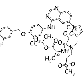 COCP(=O)(N[C@@H](C)C(=O)OC(C)C)N(CCS(C)(=O)=O)Cc1ccc(-c2ccc3ncnc(Nc4ccc(OCc5cccc(F)c5)c(Cl)c4)c3c2)o1